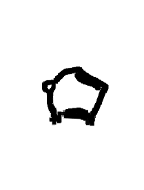 C1=CO[N+]=N1